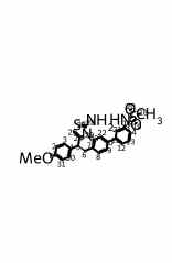 COc1ccc([C@H](Cc2ccc(-c3cccc(NS(C)(=O)=O)c3)cc2)c2csc(N)n2)cc1